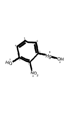 O=[N+]([O-])c1c(O)ccc[c]1[Hg][OH]